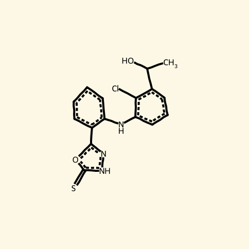 CC(O)c1cccc(Nc2ccccc2-c2n[nH]c(=S)o2)c1Cl